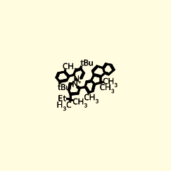 CCC(C)(C)c1cc[n+](-[n+]2ccc(C(C)(C)C)cc2-c2cc(C(C)(C)C)ccc2C)c(-c2cc3c(cc2C)C(C)(C)c2c-3ccc3ccccc23)c1